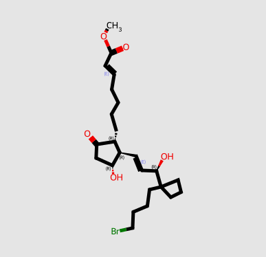 COC(=O)/C=C/CCCC[C@H]1C(=O)C[C@@H](O)[C@@H]1/C=C/[C@@H](O)C1(CCCCBr)CCC1